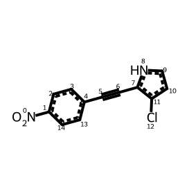 O=[N+]([O-])c1ccc(C#Cc2[nH]ccc2Cl)cc1